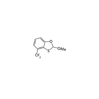 COC1Oc2cccc(C(F)(F)F)c2S1